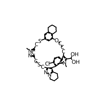 Cn1nc2cc1CSc1cc3c(c(c1)OCCCc1c(C(O)O)n(C)c4c(c(Cl)ccc14)-c1c(nn4c1CCCC4)CSC2)CCCC3